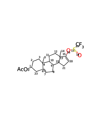 CC(=O)OC1CCC2(C)C(=CCC3C2CCC2(C)C(OS(=O)C(F)(F)F)=CCC32)C1